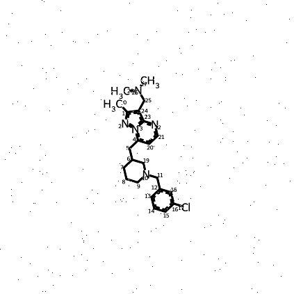 Cc1nn2c(CC3CCCN(Cc4cccc(Cl)c4)C3)ccnc2c1CN(C)C